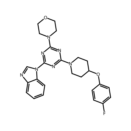 Fc1ccc(OC2CCN(c3nc(N4CCOCC4)nc(-n4cnc5ccccc54)n3)CC2)cc1